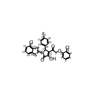 O=C(COc1ccccc1Cl)C1=C(O)C(=O)N(c2nc3c(Cl)cccc3s2)C1c1ccc(F)cc1